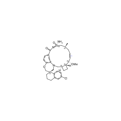 CO[C@H]1/C=C\C[C@H](C)C[S@](N)(=O)=NC(=O)c2ccc3c(c2)N(C[C@@H]2CC[C@H]21)C[C@@]1(CCCc2cc(Cl)ccc21)CO3